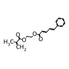 C=C(C)C(=O)OCCOC(=O)C=CC=Cc1ccccc1